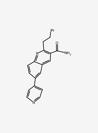 CC(C)CCc1nc2ccc(-c3ccncc3)cc2cc1C(N)=O